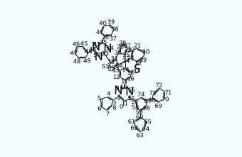 Cc1c(-c2ccccc2)nc(-c2ccc3c(c2)Sc2ccccc2C32c3ccccc3-c3c(-c4nc(-c5ccccc5)nc(-c5ccccc5)n4)cccc32)nc1-c1cc(-c2ccccc2)cc(-c2ccccc2)c1